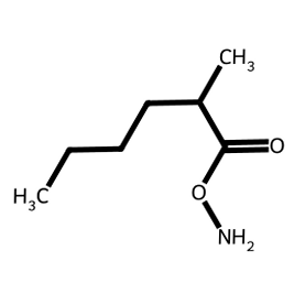 CCCCC(C)C(=O)ON